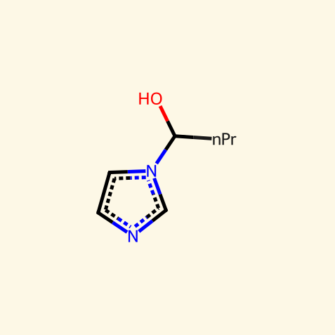 CCCC(O)n1ccnc1